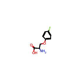 NC(COc1ccc(F)cc1)C(=O)O